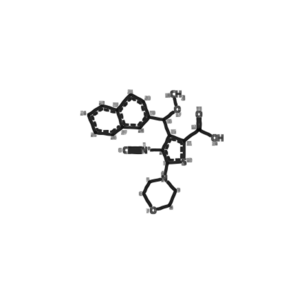 [C-]#[N+]c1c(N2CCOCC2)sc(C(=O)O)c1C(OC)c1ccc2ccccc2c1